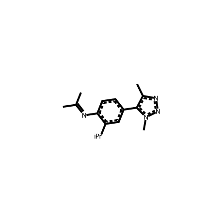 CC(C)=Nc1ccc(-c2c(C)nnn2C)cc1C(C)C